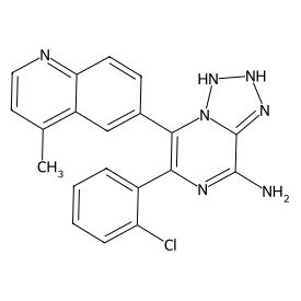 Cc1ccnc2ccc(C3=C(c4ccccc4Cl)N=C(N)C4=NNNN43)cc12